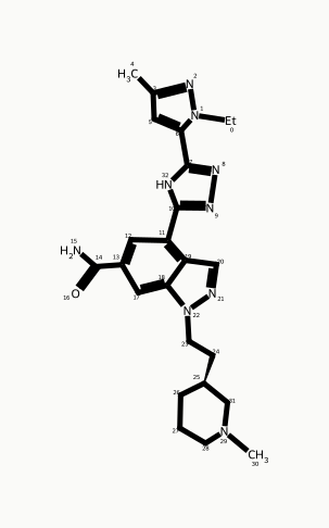 CCn1nc(C)cc1-c1nnc(-c2cc(C(N)=O)cc3c2cnn3CC[C@@H]2CCCN(C)C2)[nH]1